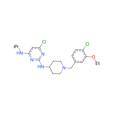 CCOc1cc(CN2CCC(Nc3nc(Cl)cc(NC(C)C)n3)CC2)ccc1Cl